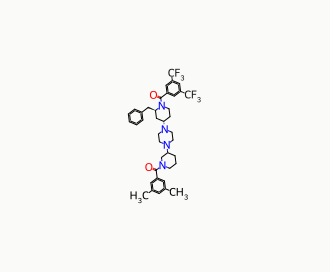 Cc1cc(C)cc(C(=O)N2CCCC(N3CCN([C@H]4CCN(C(=O)c5cc(C(F)(F)F)cc(C(F)(F)F)c5)[C@H](Cc5ccccc5)C4)CC3)C2)c1